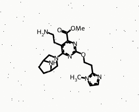 COC(=O)c1nc(OCCc2nccn2C)nc(N2CC3CCC(C2)N3)c1CCN